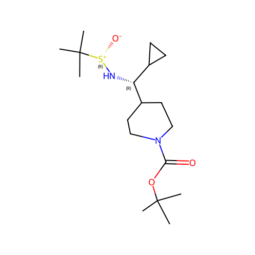 CC(C)(C)OC(=O)N1CCC([C@H](N[S@@+]([O-])C(C)(C)C)C2CC2)CC1